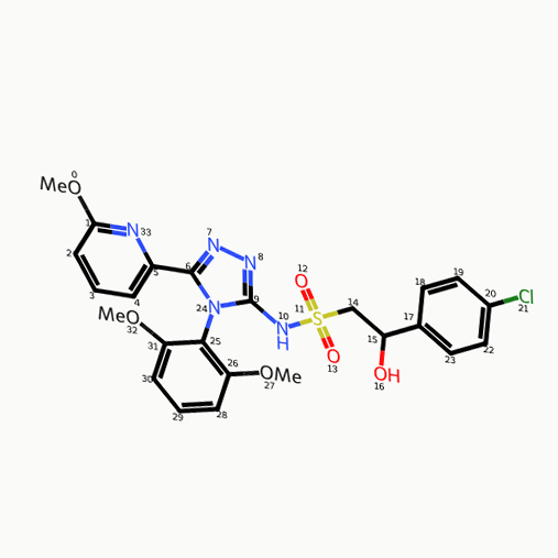 COc1cccc(-c2nnc(NS(=O)(=O)CC(O)c3ccc(Cl)cc3)n2-c2c(OC)cccc2OC)n1